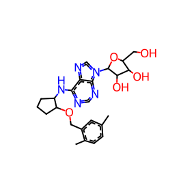 Cc1ccc(C)c(COC2CCCC2Nc2ncnc3c2ncn3C2OC(CO)C(O)C2O)c1